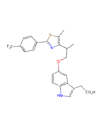 Cc1sc(-c2ccc(C(F)(F)F)cc2)nc1C(C)COc1ccc2[nH]cc(CC(=O)O)c2c1